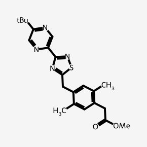 COC(=O)Cc1cc(C)c(Cc2nc(-c3cnc(C(C)(C)C)cn3)ns2)cc1C